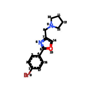 Brc1ccc(-c2nc(CN3CCCC3)co2)cc1